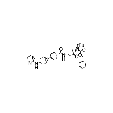 CC(C)(C)N(OC(=O)CCNC(=O)c1ccc(N2CCC(Nc3ncccn3)CC2)cc1)C(=O)OCc1ccccc1